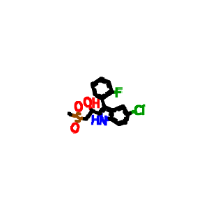 CS(=O)(=O)CC(O)c1[nH]c2ccc(Cl)cc2c1-c1ccccc1F